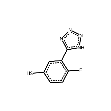 Fc1ccc(S)cc1-c1nnn[nH]1